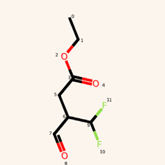 CCOC(=O)CC([C]=O)C(F)F